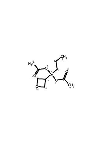 CCC[Si](OC(C)=O)(OC(C)=O)C1COC1